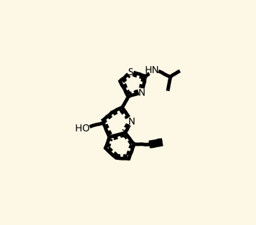 C#Cc1cccc2c(O)cc(-c3csc(NC(C)C)n3)nc12